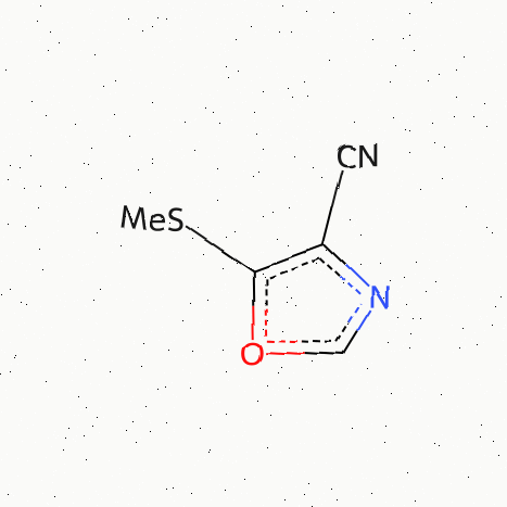 CSc1ocnc1C#N